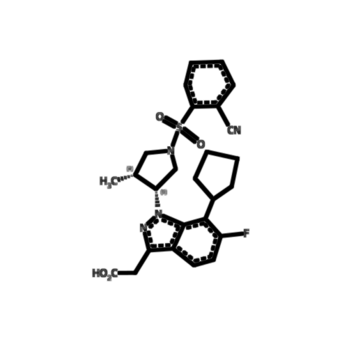 C[C@@H]1CN(S(=O)(=O)c2ccccc2C#N)C[C@@H]1n1nc(CC(=O)O)c2ccc(F)c(C3CCCC3)c21